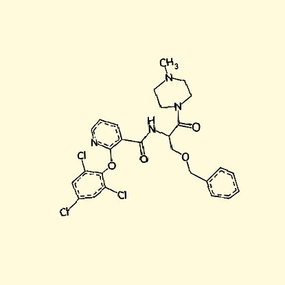 CN1CCN(C(=O)C(COCc2ccccc2)NC(=O)c2cccnc2Oc2c(Cl)cc(Cl)cc2Cl)CC1